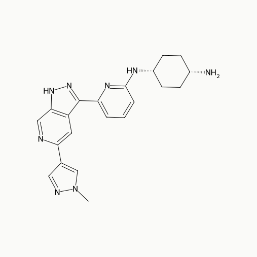 Cn1cc(-c2cc3c(-c4cccc(N[C@H]5CC[C@@H](N)CC5)n4)n[nH]c3cn2)cn1